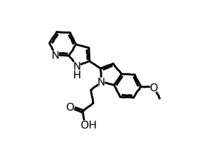 COc1ccc2c(c1)cc(-c1cc3cccnc3[nH]1)n2CCC(=O)O